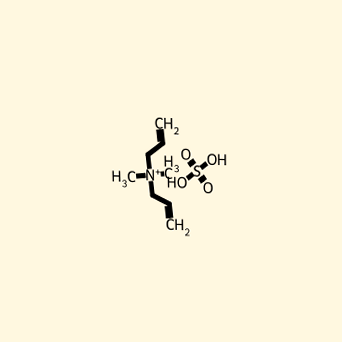 C=CC[N+](C)(C)CC=C.O=S(=O)(O)O